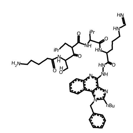 CCCCc1nc2c(NNC(=O)C(CCCNC=N)NC(=O)C(NC(=O)C(CC(C)C)C(=O)C(CO)NC(=O)CCCCN)C(C)C)nc3ccccc3c2n1Cc1ccccc1